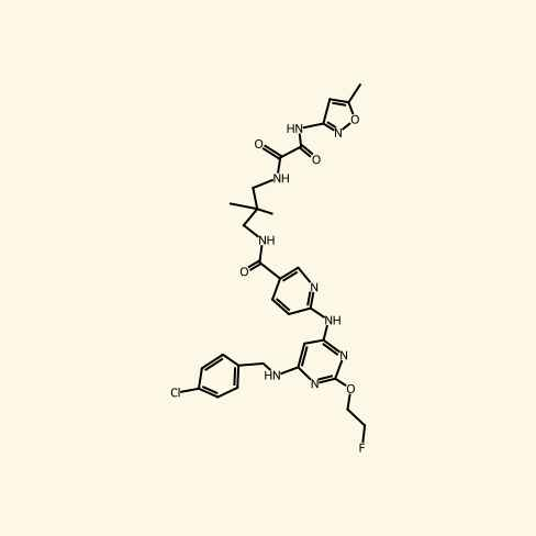 Cc1cc(NC(=O)C(=O)NCC(C)(C)CNC(=O)c2ccc(Nc3cc(NCc4ccc(Cl)cc4)nc(OCCF)n3)nc2)no1